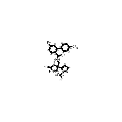 O=C1NC(=O)C(CNC(=O)c2ccc(F)cc2-c2ccc(C(F)(F)F)cc2)(c2ccnn2C(F)F)N1